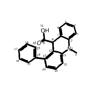 CN1c2ccccc2C(C(=O)O)c2c(-c3ccccc3)cccc21